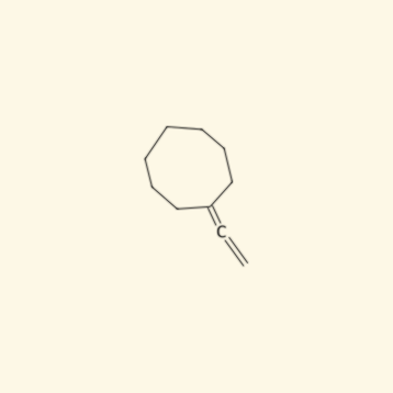 C=C=C1CCCCCCC1